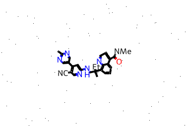 CC[C@@](C)(CNc1cc(-c2cnc(C)nc2)c(C#N)cn1)c1cccc2c(C(=O)NC)ccnc12